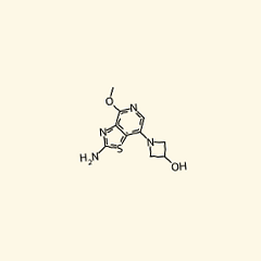 COc1ncc(N2CC(O)C2)c2sc(N)nc12